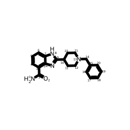 NC(=O)c1cccc2[nH]c(C3CCN(Cc4ccccc4)CC3)nc12